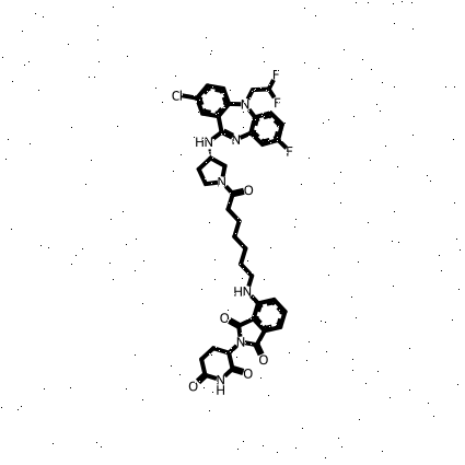 O=C1CCC(N2C(=O)c3cccc(NCCCCCCC(=O)N4CC[C@H](NC5=Nc6cc(F)ccc6N(CC(F)F)c6ccc(Cl)cc65)C4)c3C2=O)C(=O)N1